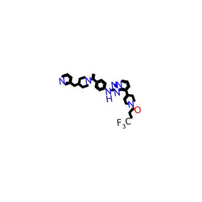 C=C(c1ccc(Nc2nc3c(C4=CCN(C(=O)CCC(F)(F)F)CC4)cccn3n2)cc1)N1CCC(Cc2cccnc2)CC1